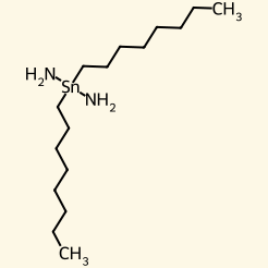 CCCCCCC[CH2][Sn]([NH2])([NH2])[CH2]CCCCCCC